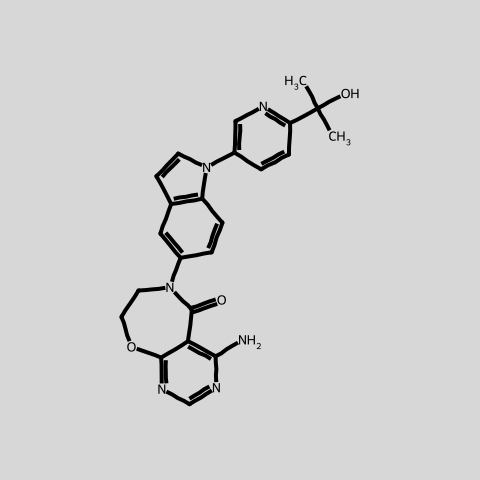 CC(C)(O)c1ccc(-n2ccc3cc(N4CCOc5ncnc(N)c5C4=O)ccc32)cn1